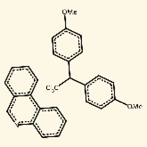 COc1ccc(C(c2ccc(OC)cc2)C(Cl)(Cl)Cl)cc1.c1ccc2c(c1)cnc1ccccc12